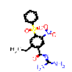 CCc1cc(S(=O)(=O)c2ccccc2)c([N+](=O)[O-])cc1C(=O)N=C(N)N